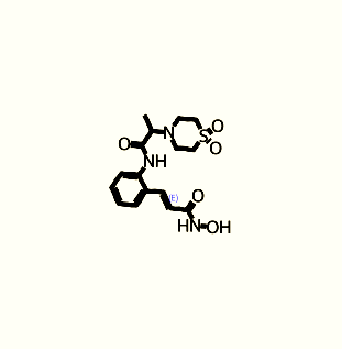 CC(C(=O)Nc1ccccc1/C=C/C(=O)NO)N1CCS(=O)(=O)CC1